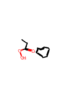 CCC(=O)OO.c1ccccc1